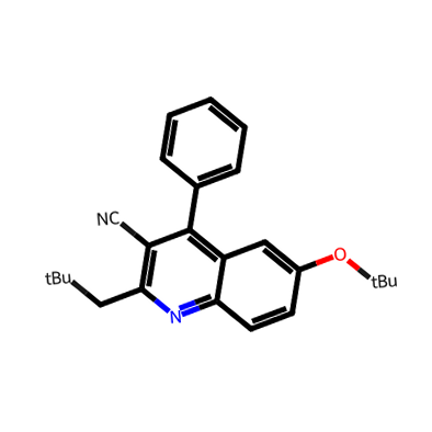 CC(C)(C)Cc1nc2ccc(OC(C)(C)C)cc2c(-c2ccccc2)c1C#N